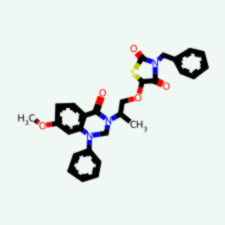 COc1ccc2c(c1)N(c1ccccc1)CN(C(C)COC1SC(=O)N(Cc3ccccc3)C1=O)C2=O